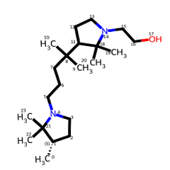 C[C@H]1CCN(CCCC(C)(C)C2CCN(CCO)C2(C)C)C1(C)C